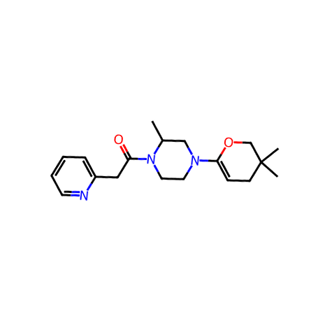 CC1CN(C2=CCC(C)(C)CO2)CCN1C(=O)Cc1ccccn1